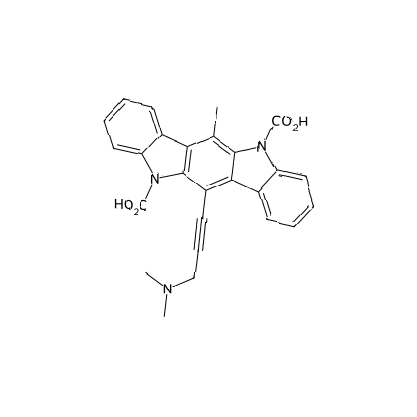 Cc1c2c3ccccc3n(C(=O)O)c2c(C#CCN(C)C)c2c3ccccc3n(C(=O)O)c12